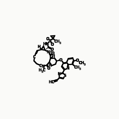 C#Cc1csc(-c2cc(O[C@H]3CC[C@H]4C(=O)N(C)CCCCC=C[C@@H]5C[C@@]5(C(=O)NS(=O)(=O)C5(C)CC5)NC(=O)[C@@H]4C3)c3ccc(OC)c(C)c3n2)n1